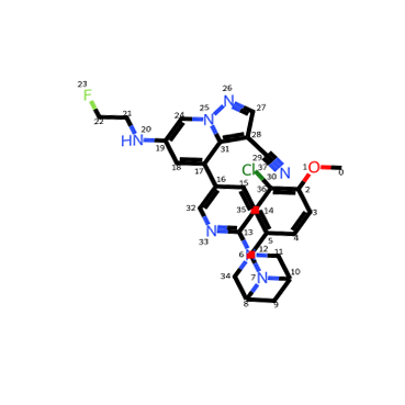 COc1ccc(CN2C3CC2CN(c2ccc(-c4cc(NCCF)cn5ncc(C#N)c45)cn2)C3)cc1Cl